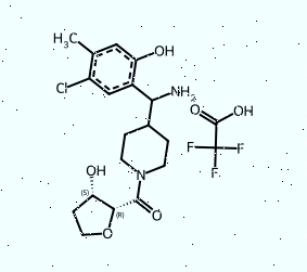 Cc1cc(O)c(C(N)C2CCN(C(=O)[C@@H]3OCC[C@@H]3O)CC2)cc1Cl.O=C(O)C(F)(F)F